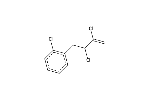 C=C(Cl)C(Cl)Cc1ccccc1Cl